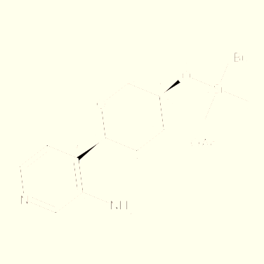 CC(=O)O[C@@H]1C[C@@H](c2ccncc2N)O[C@H](C)[C@H]1O[Si](C)(C)C(C)(C)C